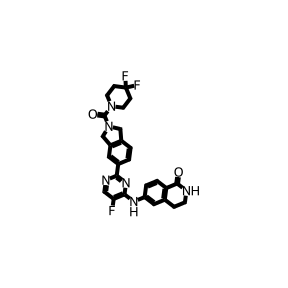 O=C1NCCc2cc(Nc3nc(-c4ccc5c(c4)CN(C(=O)N4CCC(F)(F)CC4)C5)ncc3F)ccc21